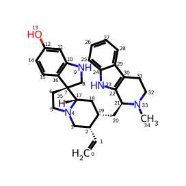 C=C[C@@H]1CN2CC[C@@]3(CNc4cc(O)ccc43)[C@@H]2C[C@@H]1C[C@H]1c2[nH]c3ccccc3c2CCN1C